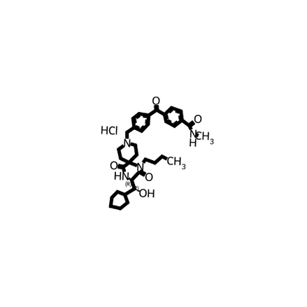 CCCCN1C(=O)[C@@H]([C@H](O)C2CCCCC2)NC(=O)C12CCN(Cc1ccc(C(=O)c3ccc(C(=O)NC)cc3)cc1)CC2.Cl